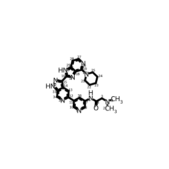 CN(C)CC(=O)Nc1cncc(-c2cc3c(-c4nc5c(N6CCCCC6)nccc5[nH]4)n[nH]c3cn2)c1